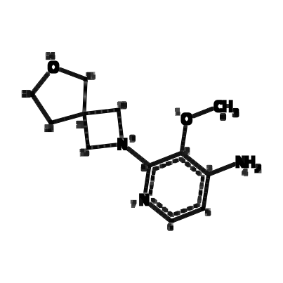 COc1c(N)ccnc1N1CC2(CCOC2)C1